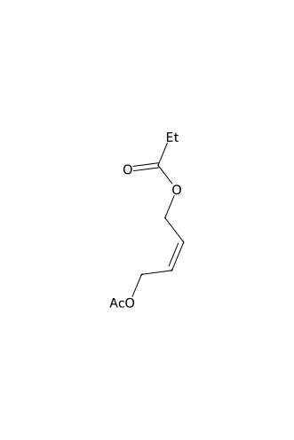 CCC(=O)OC/C=C\COC(C)=O